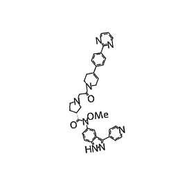 CON(C(=O)[C@@H]1CCN(CC(=O)N2CC=C(c3ccc(-c4ncccn4)cc3)CC2)C1)c1ccc2[nH]nc(-c3ccncc3)c2c1